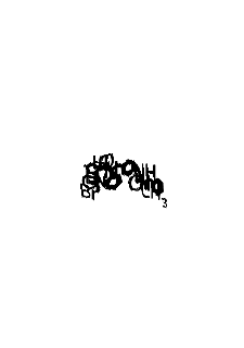 CN(Cc1ccccc1)C(=O)Nc1ccc(CN2C(=O)[C@H]3CCC[C@H]3N(C(=O)CBr)c3ccccc32)cc1